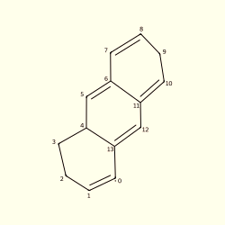 [C]1=CCCC2C=C3C=CCC=C3C=C12